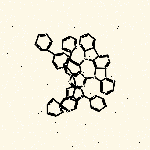 c1ccc(-c2ccc(-c3nc(-c4ccccc4)nc(-n4c5ccccc5c5ccc6c7ccccc7n(-c7cc(-c8cc(-c9ccccc9)cc(-c9ccccc9)c8)ccc7-c7ccccc7)c6c54)n3)cc2)cc1